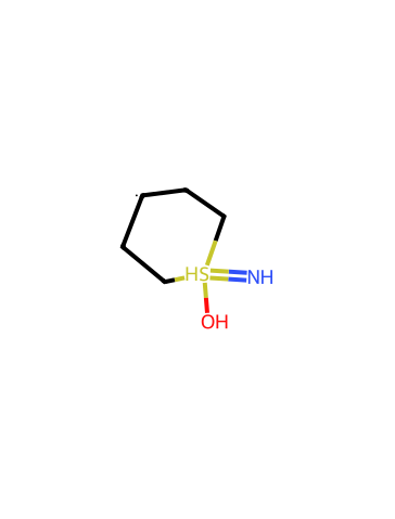 N=[SH]1(O)CC[CH]CC1